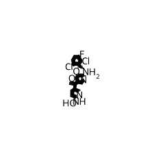 C[C@@H](Oc1c(N)ncc2c(-c3ccc(NO)nc3)coc12)c1c(Cl)ccc(F)c1Cl